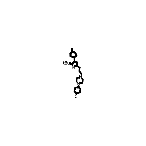 Cc1ccc(-c2cc(CCCN3CCN(c4ccc(Cl)cc4)CC3)nn2C(C)(C)C)cc1